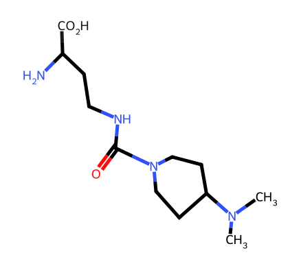 CN(C)C1CCN(C(=O)NCCC(N)C(=O)O)CC1